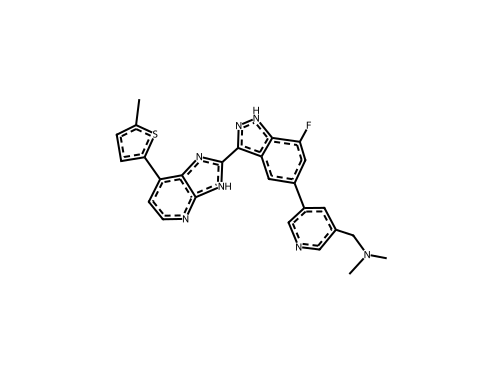 Cc1ccc(-c2ccnc3[nH]c(-c4n[nH]c5c(F)cc(-c6cncc(CN(C)C)c6)cc45)nc23)s1